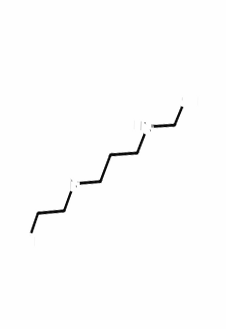 CCCNCCCNCC